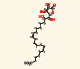 O=C(O)CCCC/C=C\C/C=C\C/C=C\CCCCCC(O)[C@H](O)[C@H]1OC(=O)C(O)=C1O